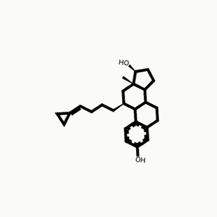 C[C@]12C[C@H](CCCC=C3CC3)C3c4ccc(O)cc4CCC3C1CC[C@@H]2O